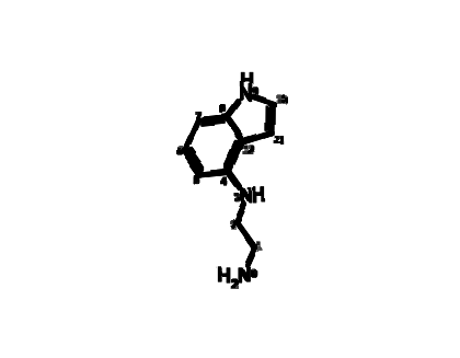 NCCNc1cccc2[nH]ccc12